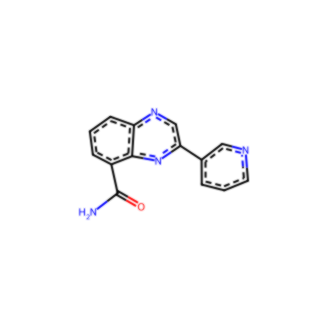 NC(=O)c1cccc2ncc(-c3cccnc3)nc12